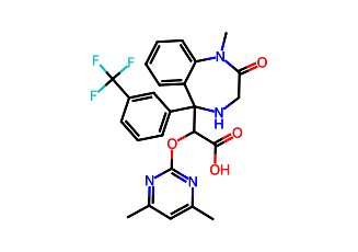 Cc1cc(C)nc(OC(C(=O)O)C2(c3cccc(C(F)(F)F)c3)NCC(=O)N(C)c3ccccc32)n1